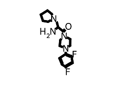 NC(CN1CCCCC1)C(=O)N1CCN(c2ccc(F)cc2F)CC1